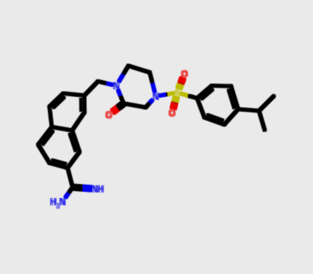 CC(C)c1ccc(S(=O)(=O)N2CCN(Cc3ccc4ccc(C(=N)N)cc4c3)C(=O)C2)cc1